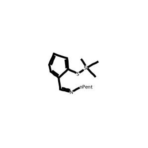 CCCCC/N=C\c1ccccc1S[Si](C)(C)C